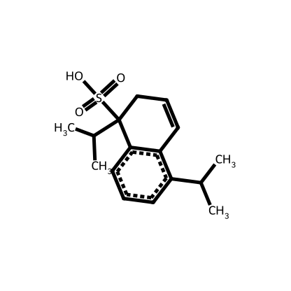 CC(C)c1cccc2c1C=CCC2(C(C)C)S(=O)(=O)O